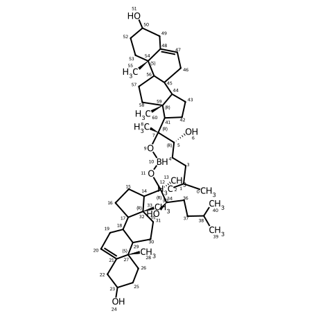 CC(C)CC[C@@H](O)[C@](C)(OBO[C@](C)(C1CCC2C3CC=C4CC(O)CC[C@@]4(C)C3CC[C@]21C)[C@H](O)CCC(C)C)C1CCC2C3CC=C4CC(O)CC[C@@]4(C)C3CC[C@]21C